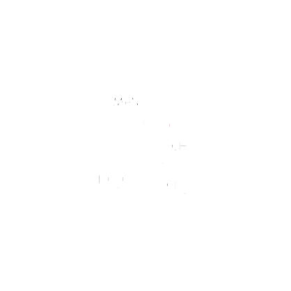 C=C(C)C(CC(=O)NC)C(=O)O